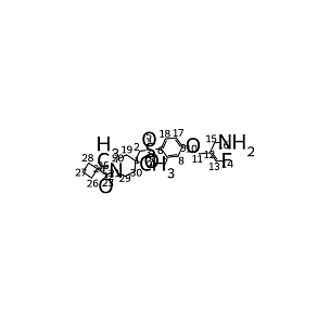 CC1(CS(=O)(=O)c2ccc(OC/C(=C/F)CN)cc2)CCN(C(=O)C2(C)CCC2)CC1